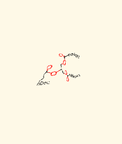 CCCCCCCCCCCCCC(=O)OC(COC(=O)CCCCCCCCC)COC(=O)CCCCCCCCC